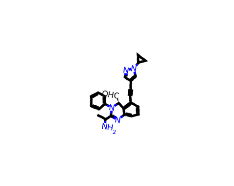 CC(N)C1=Nc2cccc(C#Cc3cnn(C4CC4)c3)c2[C@@H](C=O)N1c1ccccc1